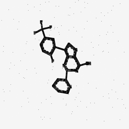 Oc1nc(-c2ccccn2)nc2c(-c3cc(C(F)(F)F)ccc3F)csc12